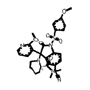 COc1ccc(S(=O)(=O)N2C(=O)C(c3cccnc3OC)(N3CCCC[C@H]3C(=O)N(C)C)c3cc(C#N)ccc32)cc1